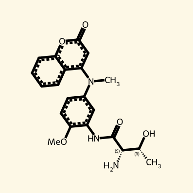 COc1ccc(N(C)c2cc(=O)oc3ccccc23)cc1NC(=O)[C@@H](N)[C@@H](C)O